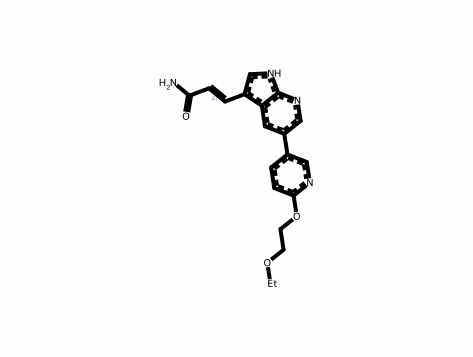 CCOCCOc1ccc(-c2cnc3[nH]cc(/C=C/C(N)=O)c3c2)cn1